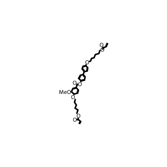 C=CC(=O)OCCCCCCOc1ccc(-c2ccc(OC(=O)C3=CC(OC)C(OCCCCCCOC(=O)C=C)C=C3)cc2)cc1